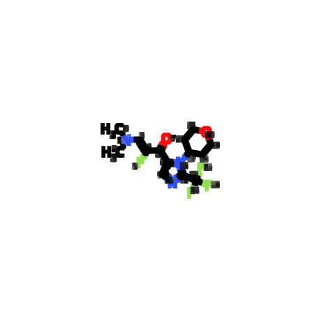 CN(C)/C=C(\F)C(=O)c1cnc(C(F)(F)F)n1C1CCOCC1